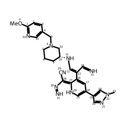 COc1ccc(CN2CCC[C@@H](N/C=C(\C=N)C3=CC(c4cnn(C)c4)=CN/C3=C(/C#N)N=N)C2)cn1